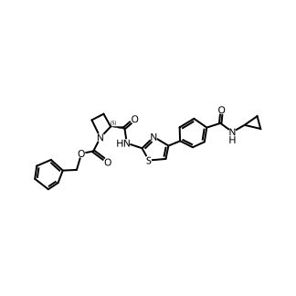 O=C(NC1CC1)c1ccc(-c2csc(NC(=O)[C@@H]3CCN3C(=O)OCc3ccccc3)n2)cc1